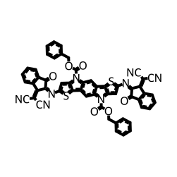 N#CC(C#N)=C1/C(=N/c2cc3c(s2)c2cc4c(cc2n3C(=O)OCc2ccccc2)c2sc(/N=C3\C(=O)c5ccccc5C3=C(C#N)C#N)cc2n4C(=O)OCc2ccccc2)C(=O)c2ccccc21